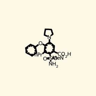 CCCc1c(Oc2ccccc2)c(N2CCCC2)cc(C(=O)O)c1S(N)(=O)=O.CNC